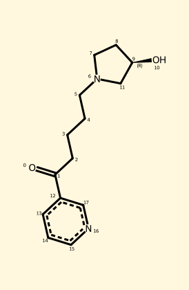 O=C(CCCCN1CC[C@@H](O)C1)c1cccnc1